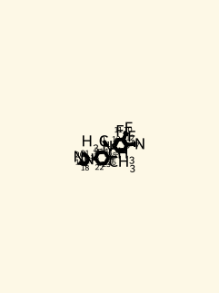 CN(c1ccc(C#N)c(C(F)(F)F)c1)C1CC(n2ccnc2)CCC1(C)C